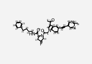 CC(=O)c1cn(CC(=O)N2C[C@H](F)C[C@H]2C(=O)NCCCCc2ccccc2)c2ccc(C#Cc3cnc(C)nc3)cc12